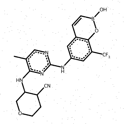 Cc1cnc(Nc2cc3c(c(C(F)(F)F)c2)OB(O)C=C3)nc1NC1COCCC1C#N